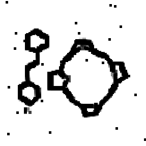 C(=Cc1ccccc1)c1ccccc1.C1=Cc2cc3ccc(cc4nc(cc5ccc(cc1n2)[nH]5)C=C4)[nH]3.[Pt]